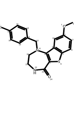 COc1ccc2sc3c(c2c1)N(Cc1ccc(Cl)cc1)CCNC3=O